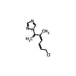 C=C(/C(C)=C\C=C/CCl)n1cncn1